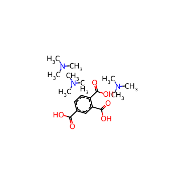 CN(C)C.CN(C)C.CN(C)C.O=C(O)c1ccc(C(=O)O)c(C(=O)O)c1